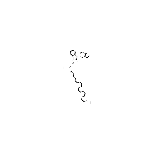 CC/C=C\C/C=C\C/C=C\C/C=C\C/C=C\CCCC(=O)OC(C)OCOC(=O)[C@H](c1ccccc1Cl)N1CCc2sccc2C1